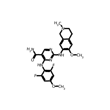 COc1cc(F)c(Nc2nc(Nc3cc4c(cc3OC)CCN(C)C4)ncc2C(N)=O)c(F)c1